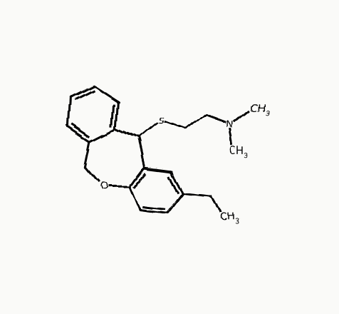 CCc1ccc2c(c1)C(SCCN(C)C)c1ccccc1CO2